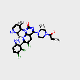 C=CC(=O)N1CCN(c2nc(=O)n(C3=C(SC)C=CNC3C(C)C)c3nc(-c4c(N)ccc(Cl)c4F)c(Cl)cc23)[C@@H](C)C1